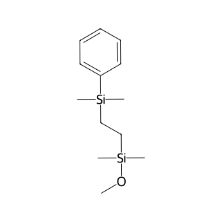 CO[Si](C)(C)CC[Si](C)(C)c1ccccc1